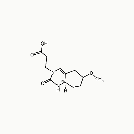 COC1CC[C@H]2NC(=O)N(CCC(=O)O)C=C2C1